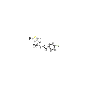 CCSC(C)(C)C[C](CC)CC=Cc1ccc(F)cc1